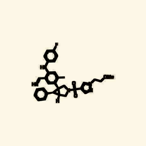 COCCn1cc(S(=O)(=O)N2C[C@@H]3[C@@H](c4ccccc4)[C@]3(c3cc(C=N)c(Nc4ccc(F)cc4)cc3C)C2)cn1